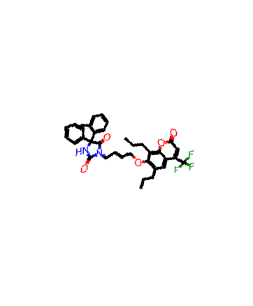 CCCc1cc2c(C(F)(F)F)cc(=O)oc2c(CCC)c1OCCCCN1C(=O)NC(c2ccccc2)(c2ccccc2C)C1=O